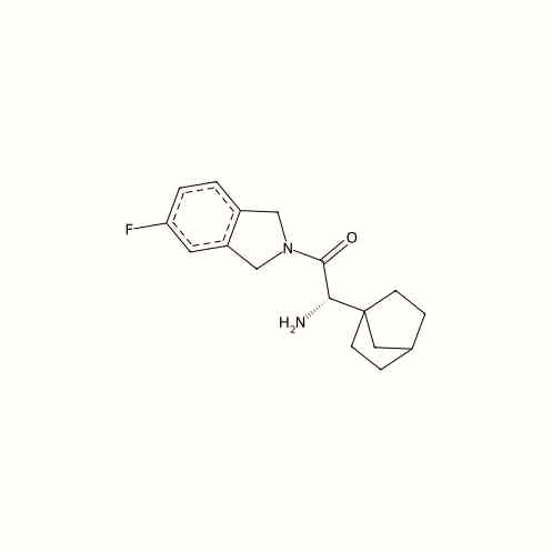 N[C@H](C(=O)N1Cc2ccc(F)cc2C1)C12CCC(CC1)C2